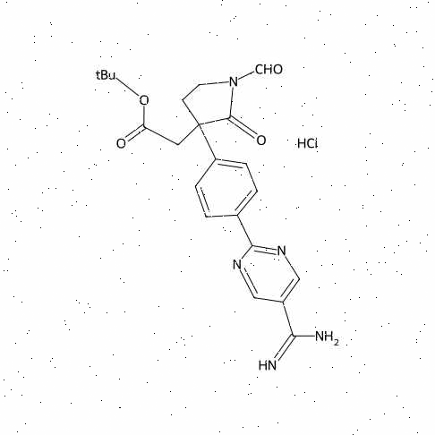 CC(C)(C)OC(=O)CC1(c2ccc(-c3ncc(C(=N)N)cn3)cc2)CCN(C=O)C1=O.Cl